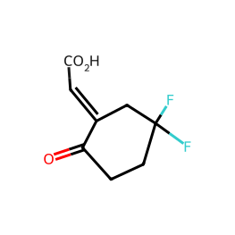 O=C(O)C=C1CC(F)(F)CCC1=O